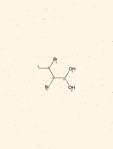 CC(Br)C(Br)C(O)O